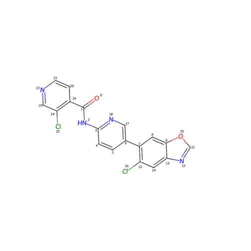 O=C(Nc1ccc(-c2cc3ocnc3cc2Cl)cn1)c1ccncc1Cl